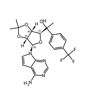 CC1(C)O[C@@H]2[C@H](O1)[C@@H](C(C)(O)c1ccc(C(F)(F)F)cc1)O[C@H]2n1ccc2c(N)ncnc21